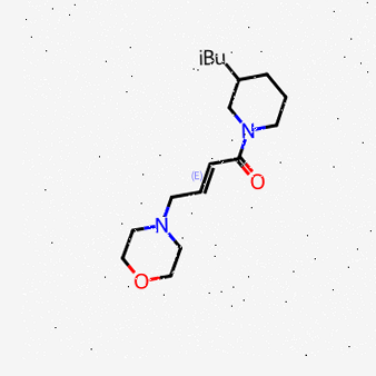 CCC(C)C1CCCN(C(=O)/C=C/CN2CCOCC2)C1